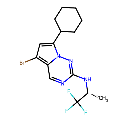 C[C@@H](Nc1ncc2c(Br)cc(C3CCCCC3)n2n1)C(F)(F)F